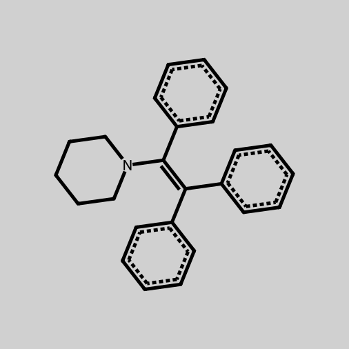 c1ccc(C(=C(c2ccccc2)N2CCCCC2)c2ccccc2)cc1